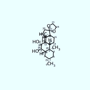 C[C@H]1CC[C@@]2(C)[C@H](C1)[C@@H](O)[C@H](O)[C@@H]1[C@@H]2CC[C@@]2(C)[C@H]1CCC21OCCO1